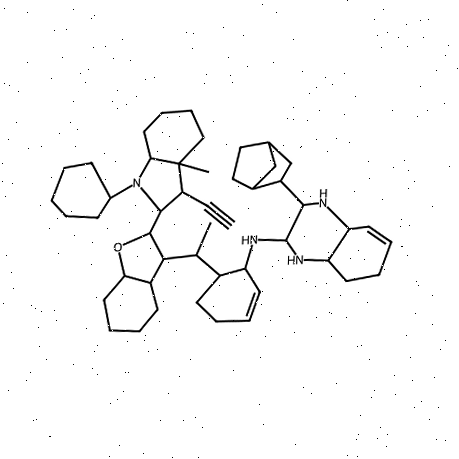 C#CC1C(C2OC3CCCCC3C2C(C)C2CCC=CC2NC2NC3CCC=CC3NC2C2CC3CCC2C3)N(C2CCCCC2)C2CCCCC12C